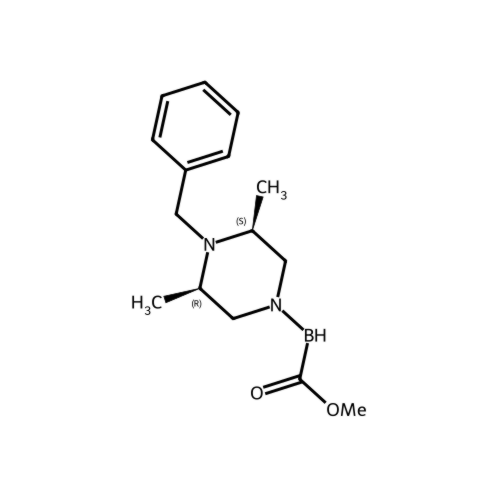 COC(=O)BN1C[C@@H](C)N(Cc2ccccc2)[C@@H](C)C1